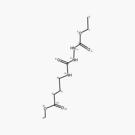 CCOC(=O)NNC(=O)NCCCC(=O)OC